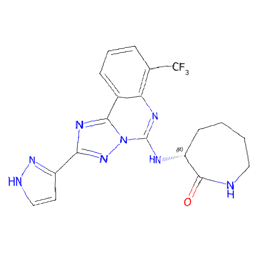 O=C1NCCCC[C@H]1Nc1nc2c(C(F)(F)F)cccc2c2nc(-c3cc[nH]n3)nn12